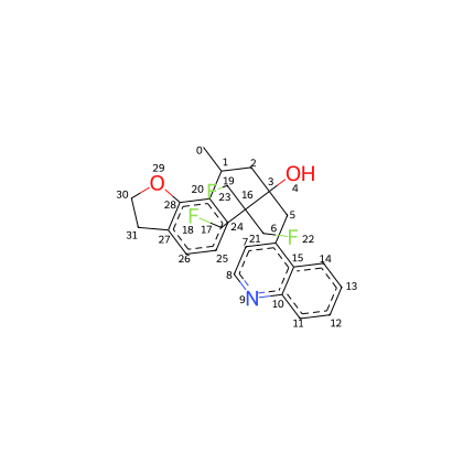 CC(CC(O)(Cc1ccnc2ccccc12)C(CF)(CF)CF)c1cccc2c1OCC2